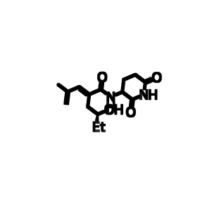 C=C(C)/C=C(\C[C@@H](O)CC)C(=O)NC1CCC(=O)NC1=O